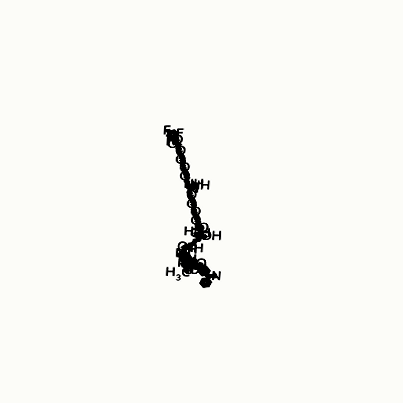 COc1cnc(-n2cnc(C(=O)NCCCCC(CO)(CO)CNC(=O)CCOCCOCCOCCOC/C(=C/NCCOCCOCCOCCOCCC(=O)Oc3c(F)cc(F)cc3F)N=N)n2)c2[nH]cc(C(=O)C(=O)N3CCC(=C(C#N)c4ccccc4)CC3)c12